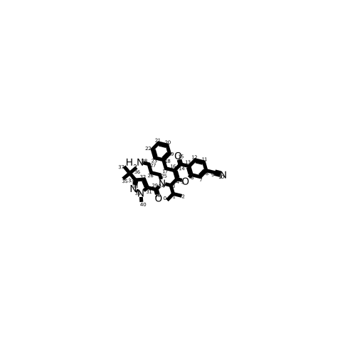 CC(C)C(c1oc2cc(C#N)ccc2c(=O)c1Cc1ccccc1)N(CCCN)C(=O)c1cc(C(C)(C)C)nn1C